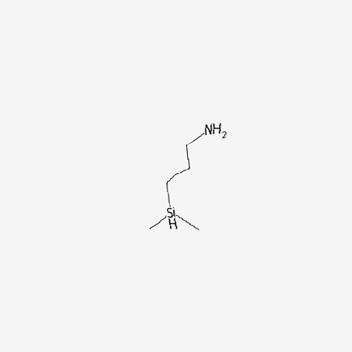 C[SiH](C)CCCN